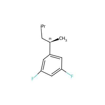 CC(C)C[C@@H](C)c1cc(F)cc(F)c1